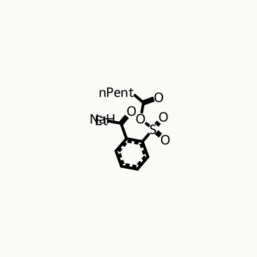 CCCCCC(=O)OS(=O)(=O)c1ccccc1C(=O)CC.[NaH]